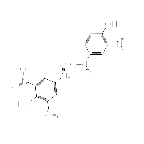 O=[N+]([O-])c1cc([N+](=O)[O-])c(O)c([N+](=O)[O-])c1.O=[N+]([O-])c1ccc(O)c([N+](=O)[O-])c1